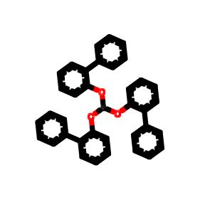 c1ccc(-c2ccccc2OB(Oc2ccccc2-c2ccccc2)Oc2ccccc2-c2ccccc2)cc1